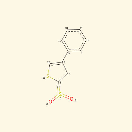 O=S(=O)=C1CC(c2ccccc2)=CS1